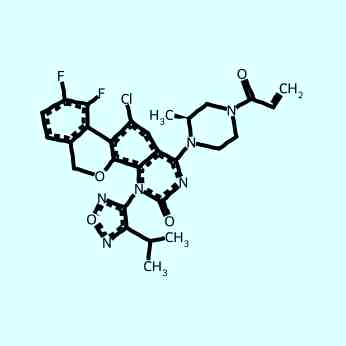 C=CC(=O)N1CCN(c2nc(=O)n(-c3nonc3C(C)C)c3c4c(c(Cl)cc23)-c2c(ccc(F)c2F)CO4)[C@@H](C)C1